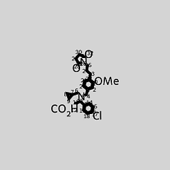 COc1cc(CN(CC2CC2)C(CC(=O)O)c2ccc(Cl)cc2)ccc1CCCN1C(=O)CCC1=O